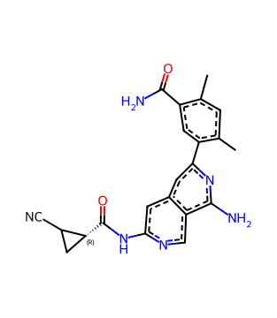 Cc1cc(C)c(-c2cc3cc(NC(=O)[C@@H]4CC4C#N)ncc3c(N)n2)cc1C(N)=O